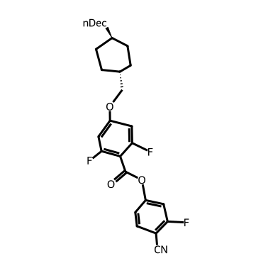 CCCCCCCCCC[C@H]1CC[C@H](COc2cc(F)c(C(=O)Oc3ccc(C#N)c(F)c3)c(F)c2)CC1